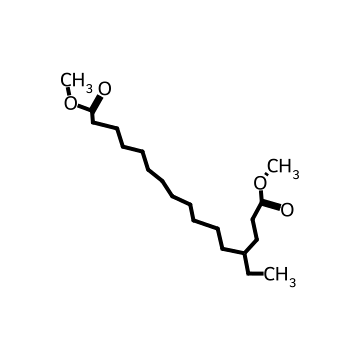 CCC(CCCCCCCCCCCC(=O)OC)CCC(=O)OC